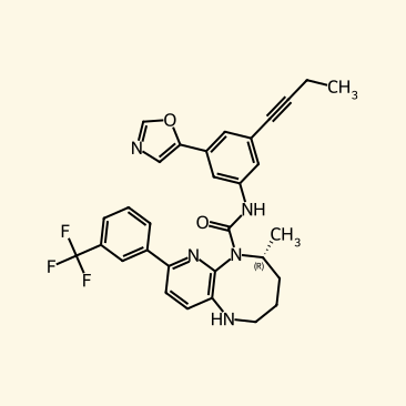 CCC#Cc1cc(NC(=O)N2c3nc(-c4cccc(C(F)(F)F)c4)ccc3NCCC[C@H]2C)cc(-c2cnco2)c1